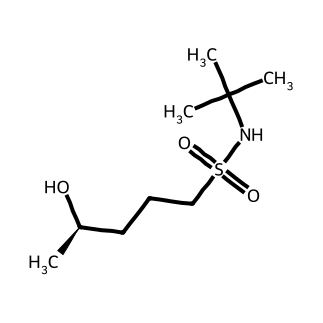 C[C@@H](O)CCCS(=O)(=O)NC(C)(C)C